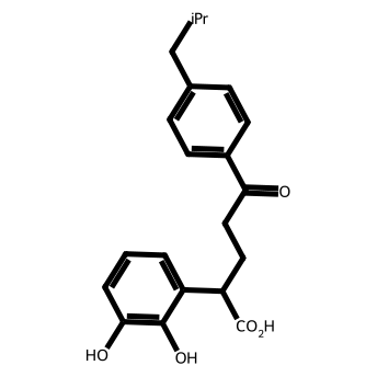 CC(C)Cc1ccc(C(=O)CCC(C(=O)O)c2cccc(O)c2O)cc1